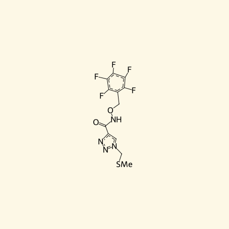 CSCn1cc(C(=O)NOCc2c(F)c(F)c(F)c(F)c2F)nn1